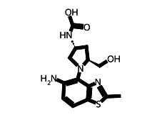 Cc1nc2c(N3C[C@H](NC(=O)O)C[C@H]3CO)c(N)ccc2s1